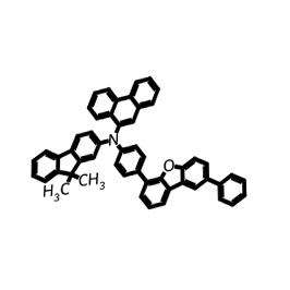 CC1(C)c2ccccc2-c2ccc(N(c3ccc(-c4cccc5c4oc4ccc(-c6ccccc6)cc45)cc3)c3cc4ccccc4c4ccccc34)cc21